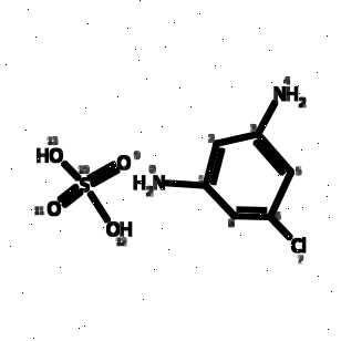 Nc1cc(N)cc(Cl)c1.O=S(=O)(O)O